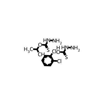 CC(C)OC(=S)NN.Clc1ccccc1Cl.NNC(O)=S